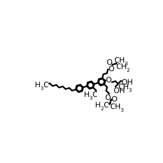 C=C(C)C(=O)OCCCc1cc(-c2ccc(-c3ccc(CCCCCCCCC)cc3)cc2CC)cc(CCCOC(=O)C(=C)C)c1OCCC(C)(CO)CO